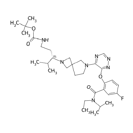 CCN(C(=O)c1cc(F)ccc1Oc1nncnc1N1CCC2(C1)CN([C@@H](CCNC(=O)OC(C)(C)C)C(C)C)C2)C(C)C